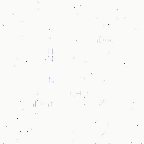 CCCCCCCCCCCCC(CC)c1[nH]cc[n+]1C(C)CCCCC